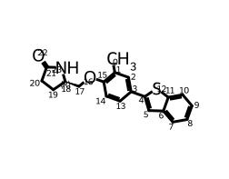 Cc1cc(-c2cc3ccccc3s2)ccc1OC[C@H]1CCC(=O)N1